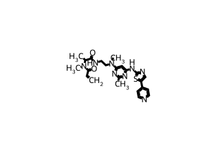 C=CC(=O)N(C)C(C)C(=O)NCCN(C)c1cc(Nc2ncc(-c3ccncc3)s2)nc(C)n1